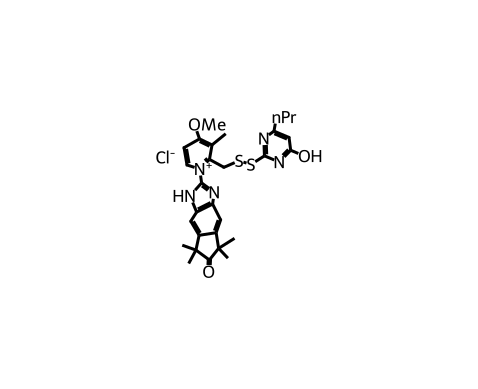 CCCc1cc(O)nc(SSCc2c(C)c(OC)cc[n+]2-c2nc3cc4c(cc3[nH]2)C(C)(C)C(=O)C4(C)C)n1.[Cl-]